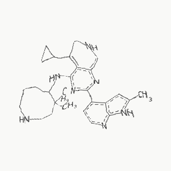 Cc1cc2c(-c3nc(NC4CCCNCCC4(C)C)c4c(n3)=CNCC=4C3CC3)ccnc2[nH]1